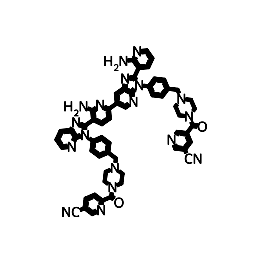 N#Cc1ccc(C(=O)N2CCN(Cc3ccc(-n4c(-c5ccc(-c6cnc7c(c6)nc(-c6cccnc6N)n7-c6ccc(CN7CCN(C(=O)c8cncc(C#N)c8)CC7)cc6)nc5N)nc5cccnc54)cc3)CC2)nc1